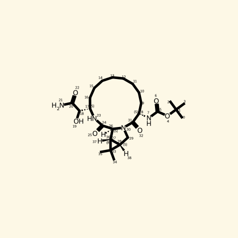 CC(C)(C)OC(=O)N[C@H]1CCCCCCCC[C@@H](C(O)C(N)=O)NC(=O)[C@@H]2[C@@H]3[C@H](CN2C1=O)C3(C)C